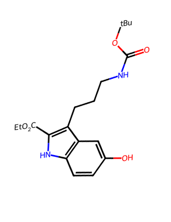 CCOC(=O)c1[nH]c2ccc(O)cc2c1CCCNC(=O)OC(C)(C)C